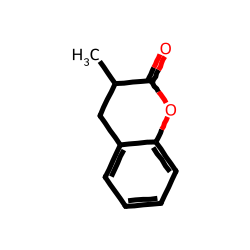 CC1Cc2ccccc2OC1=O